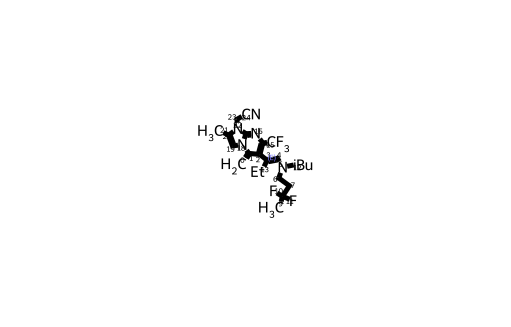 C=C1C(/C(=C/N(CCC(C)(F)F)C(C)CC)CC)=C(C(F)(F)F)N=C2N1C=C(C)N2CC#N